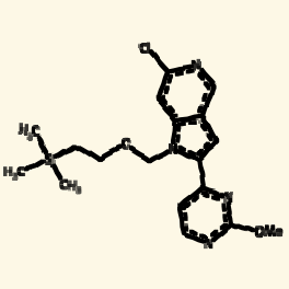 COc1nccc(-c2cc3cnc(Cl)cc3n2COCC[Si](C)(C)C)n1